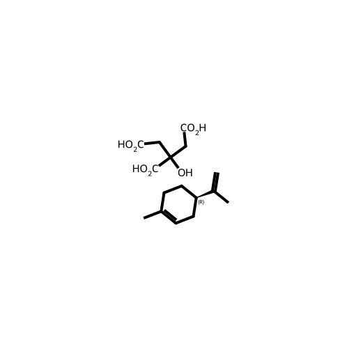 C=C(C)[C@H]1CC=C(C)CC1.O=C(O)CC(O)(CC(=O)O)C(=O)O